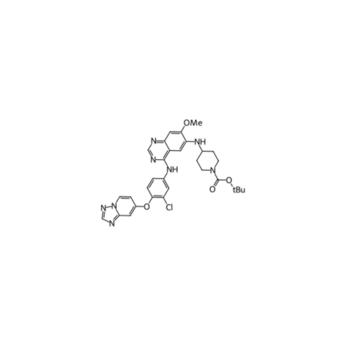 COc1cc2ncnc(Nc3ccc(Oc4ccn5ncnc5c4)c(Cl)c3)c2cc1NC1CCN(C(=O)OC(C)(C)C)CC1